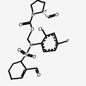 O=CC1=CCCCC1S(=O)(=O)N(COC(=O)N1CCC[C@@H]1C=O)c1ccc(F)cc1Cl